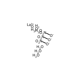 O.O.O.O.O.O.O=[N+]([O-])[O-].O=[N+]([O-])[O-].O=[N+]([O-])[O-].[La+3]